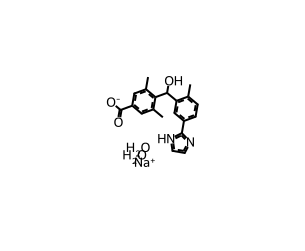 Cc1ccc(-c2ncc[nH]2)cc1C(O)c1c(C)cc(C(=O)[O-])cc1C.O.O.[Na+]